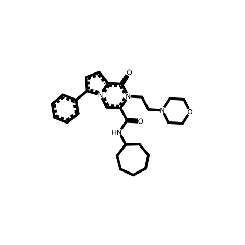 O=C(NC1CCCCCC1)c1cn2c(-c3ccccc3)ccc2c(=O)n1CCN1CCOCC1